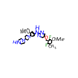 COc1cc(Nc2ncc(OCc3c(F)c(C)cc(OC)c3F)cn2)ccc1N1CCC(N2CCNCC2)CC1